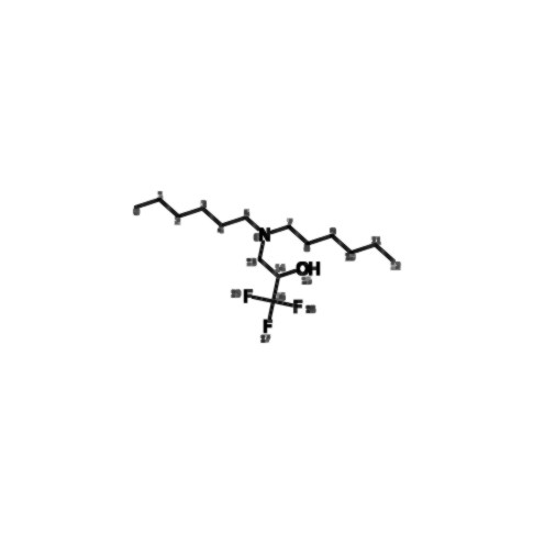 CCCCCCN(CCCCCC)CC(O)C(F)(F)F